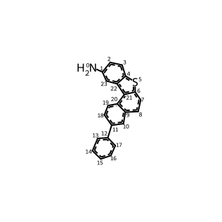 Nc1ccc2sc3ccc4cc(-c5ccccc5)ccc4c3c2c1